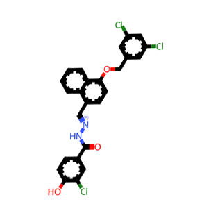 O=C(N/N=C/c1ccc(OCc2cc(Cl)cc(Cl)c2)c2ccccc12)c1ccc(O)c(Cl)c1